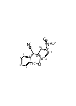 N#CC1c2ccccc2COc2ccc([N+](=O)[O-])cc21